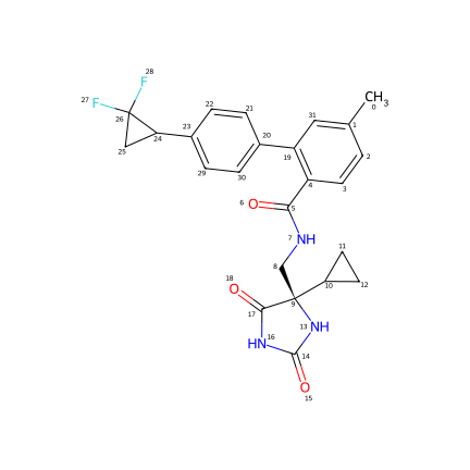 Cc1ccc(C(=O)NC[C@@]2(C3CC3)NC(=O)NC2=O)c(-c2ccc(C3CC3(F)F)cc2)c1